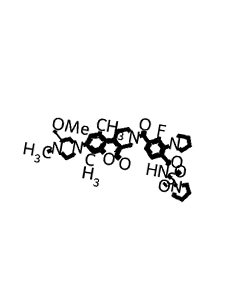 COC[C@H]1CN(c2cc(C)c3c4c(c(=O)oc3c2C)CN(C(=O)c2ccc(C(=O)NS(=O)(=O)N3CCCC3)c(N3CCCC3)c2F)CC4)CCN1C